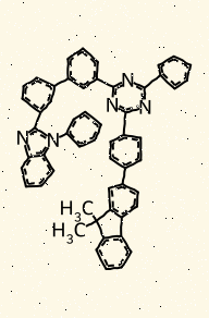 CC1(C)c2ccccc2-c2ccc(-c3ccc(-c4nc(-c5ccccc5)nc(-c5cccc(-c6cccc(-c7nc8ccccc8n7-c7ccccc7)c6)c5)n4)cc3)cc21